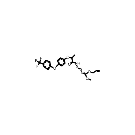 C=CCOC(=NSSNC(=O)C(C)Oc1ccc(Oc2ccc(C(F)(F)F)cc2)cc1)OC